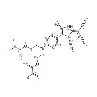 C=C(C)C(=O)OCCN(CCOC(=O)C(=C)C)c1ccc(C2C(O)NC(=C(C#N)C#N)C2C#N)cc1